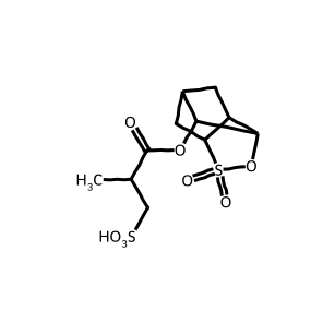 CC(CS(=O)(=O)O)C(=O)OC1C2CC3C1OS(=O)(=O)C3C2